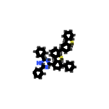 c1ccc(C2=NC(c3ccc(-c4ccccc4)c4sc5c(-c6ccc7sc8ccccc8c7c6)cccc5c34)=NC(c3ccccc3)N2)cc1